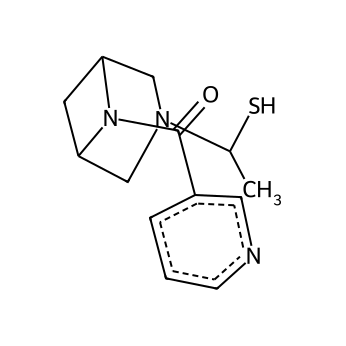 CC(S)N1CC2CC(C1)N2C(=O)c1cccnc1